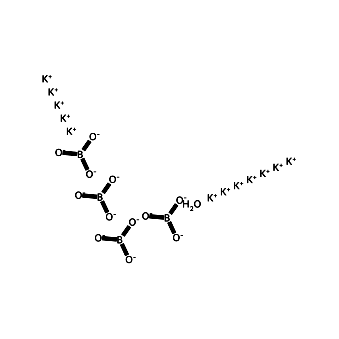 O.[K+].[K+].[K+].[K+].[K+].[K+].[K+].[K+].[K+].[K+].[K+].[K+].[O-]B([O-])[O-].[O-]B([O-])[O-].[O-]B([O-])[O-].[O-]B([O-])[O-]